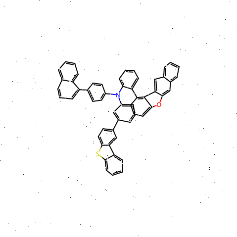 c1cc(-c2ccc3sc4ccccc4c3c2)cc(N(c2ccc(-c3cccc4ccccc34)cc2)c2ccccc2-c2cccc3oc4cc5ccccc5cc4c23)c1